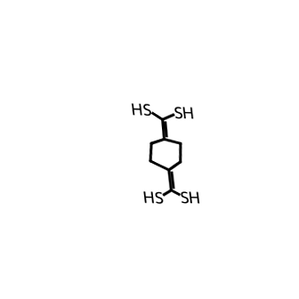 SC(S)=C1CCC(=C(S)S)CC1